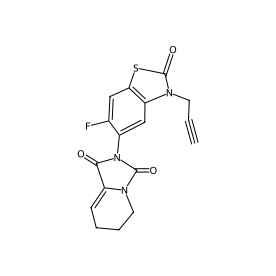 C#CCn1c(=O)sc2cc(F)c(N3C(=O)C4=CCCCN4C3=O)cc21